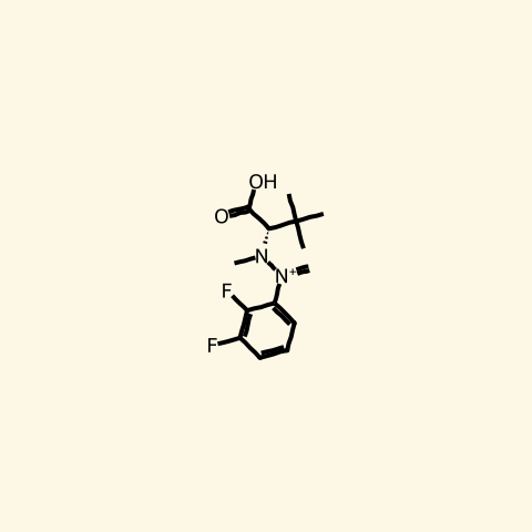 C=[N+](c1cccc(F)c1F)N(C)[C@H](C(=O)O)C(C)(C)C